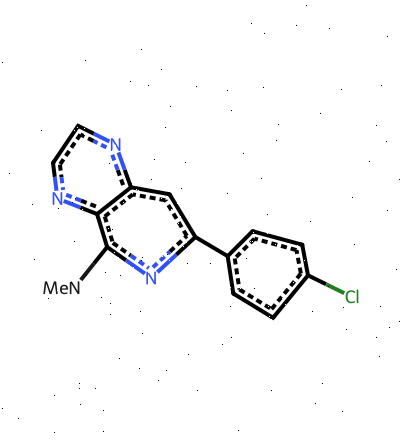 CNc1nc(-c2ccc(Cl)cc2)cc2nccnc12